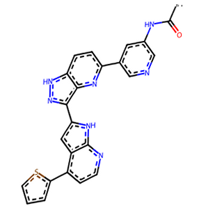 CC(C)C(=O)Nc1cncc(-c2ccc3[nH]nc(-c4cc5c(-c6cccs6)ccnc5[nH]4)c3n2)c1